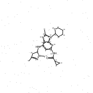 CC1=NN(C)C(Nc2cc(NC(=O)C3CC3)nc3c2nc(C)n3C2CCCCO2)C1